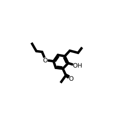 CCCOc1cc(CCC)c(O)c(C(C)=O)c1